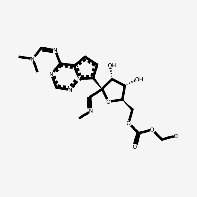 CN=C[C@@]1(c2ccc3c(/N=C\N(C)C)ncnn23)O[C@H](COC(=O)OCCl)[C@@H](O)[C@H]1O